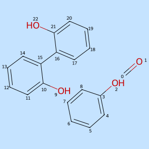 C=O.Oc1ccccc1.Oc1ccccc1-c1ccccc1O